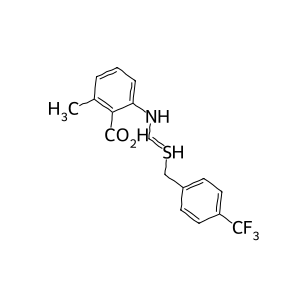 Cc1cccc(NC=[SH]Cc2ccc(C(F)(F)F)cc2)c1C(=O)O